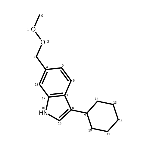 COOCc1ccc2c(C3CCCCC3)c[nH]c2c1